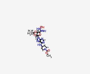 CCOC(=O)N1CCC(Nc2ncnc3c2ncn3[C@@H]2O[C@H](C(=N)NO)[C@H]3OC(C)(C)O[C@H]32)CC1